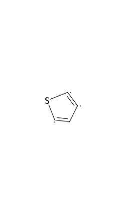 [c]1[c]s[c]c1